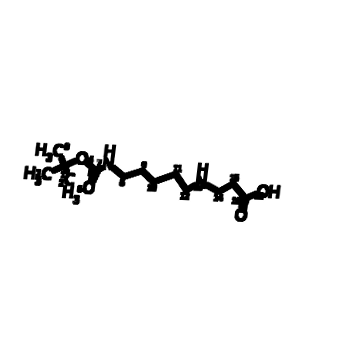 CC(C)(C)OC(=O)NCCCCCNCCC(=O)O